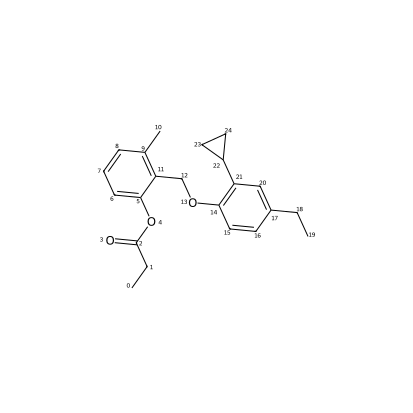 CCC(=O)Oc1cccc(C)c1COc1ccc(CC)cc1C1CC1